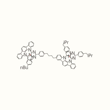 CCCCc1ccc(-c2nc(-c3ccc(CCCCc4ccc5c(c4)c4ccc6c7ccccc7n(-c7nc(-c8ccc(CC(C)C)cc8)nc(-c8ccc(CC(C)C)cc8)n7)c6c4n5-c4ccccc4)cc3)nc(-n3c4ccccc4c4ccc5c6ccccc6n(-c6ccccc6)c5c43)n2)cc1